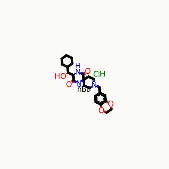 CCCCN1C(=O)[C@@H]([C@H](O)C2CCCCC2)NC(=O)C12CCN(Cc1ccc3c(c1)OCCO3)CC2.Cl